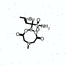 C/C=C/C(CCCC)(B1OC(=O)CN(C)CC(=O)O1)S(N)(=O)=O